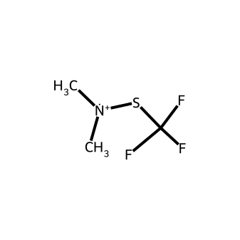 C[N+](C)SC(F)(F)F